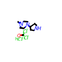 CN1CCN(C2CCNCC2)CC1.Cl.O=C(Cl)Cl